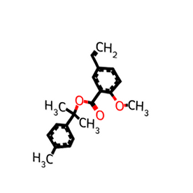 C=Cc1ccc(OC)c(C(=O)OC(C)(C)c2ccc(C)cc2)c1